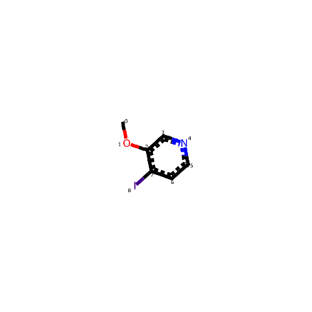 COc1cn[c]cc1I